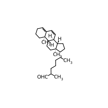 CC(C=O)CCCC(C)[C@H]1CC[C@H]2[C@@H]3C=CC4=CCCC[C@]4(C)[C@H]3CC[C@]12C